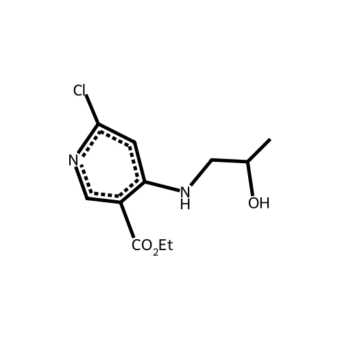 CCOC(=O)c1cnc(Cl)cc1NCC(C)O